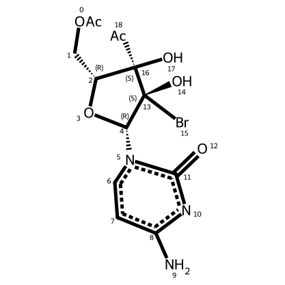 CC(=O)OC[C@H]1O[C@@H](n2ccc(N)nc2=O)[C@@](O)(Br)[C@@]1(O)C(C)=O